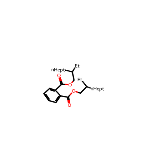 CCCCCCCC(CC)COC(=O)c1ccccc1C(=O)OCC(CC)CCCCCCC